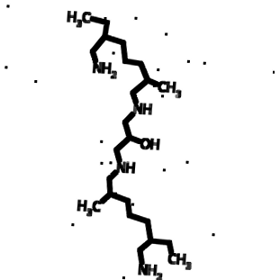 CCC(CN)CCCC(C)CNCC(O)CNCC(C)CCCC(CC)CN